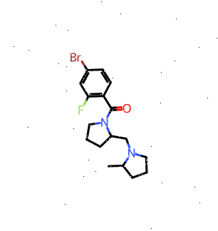 CC1CCCN1CC1CCCN1C(=O)c1ccc(Br)cc1F